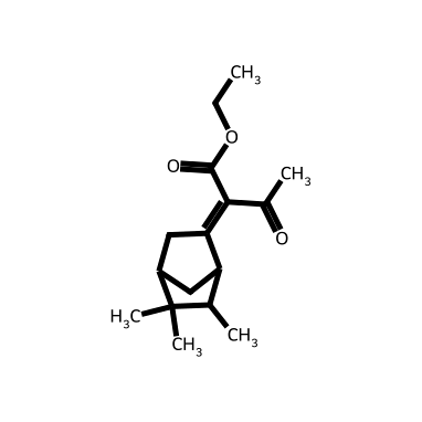 CCOC(=O)C(C(C)=O)=C1CC2CC1C(C)C2(C)C